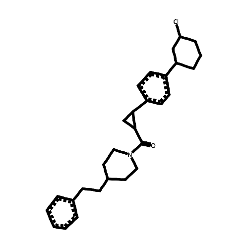 O=C(C1CC1c1ccc(C2CCCC(Cl)C2)cc1)N1CCC(CCc2ccccc2)CC1